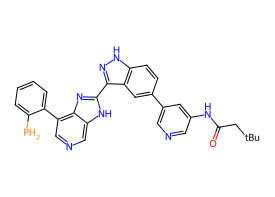 CC(C)(C)CC(=O)Nc1cncc(-c2ccc3[nH]nc(-c4nc5c(-c6ccccc6P)cncc5[nH]4)c3c2)c1